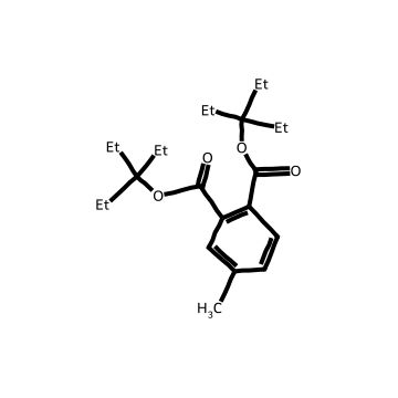 CCC(CC)(CC)OC(=O)c1ccc(C)cc1C(=O)OC(CC)(CC)CC